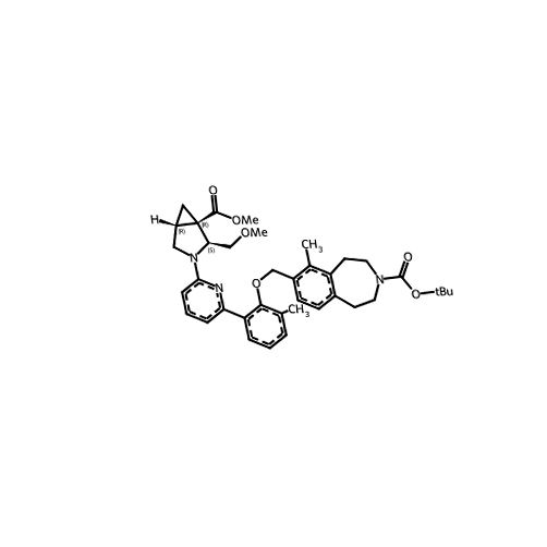 COC[C@H]1N(c2cccc(-c3cccc(C)c3OCc3ccc4c(c3C)CCN(C(=O)OC(C)(C)C)CC4)n2)C[C@@H]2C[C@@]21C(=O)OC